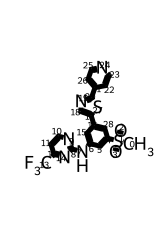 CS(=O)(=O)c1cc(Nc2nccc(C(F)(F)F)n2)cc(-c2cnc(-c3ccncc3)s2)c1